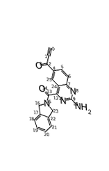 C#CC(=O)c1ccc2nc(N)nc(C(=O)N3Cc4ccccc4C3)c2c1